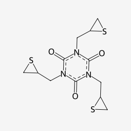 O=c1n(CC2CS2)c(=O)n(CC2CS2)c(=O)n1CC1CS1